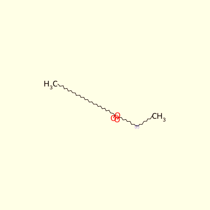 CCCCCCCC/C=C\CCCCCCCC(=O)OC(=O)CCCCCCCCCCCCCCCCCCCCCCCCCCCC